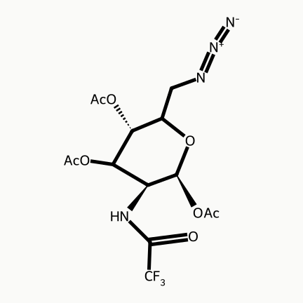 CC(=O)OC1[C@H](OC(C)=O)C(CN=[N+]=[N-])O[C@@H](OC(C)=O)[C@H]1NC(=O)C(F)(F)F